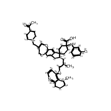 CC(=O)C1CCN(CC2COc3cc4c(cc3OC2)C2(CCC(Nc3cccc(Cl)c3)(C(=O)O)CC2)[C@@H](C[C@@H](C)COc2ccnc3c2[C@H](C)CCC3)C4)CC1